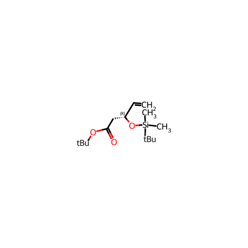 C=C[C@@H](CC(=O)OC(C)(C)C)O[Si](C)(C)C(C)(C)C